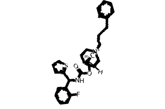 O=C(NC(c1cccs1)c1ccccc1F)O[C@H]1C[N+]2(CCCc3ccccc3)CCC1CC2